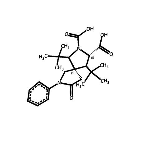 CC(C)(C)C1[C@@H](C(=O)O)N(C(=O)O)C(C(C)(C)C)[C@@]12CC(=O)N(c1ccccc1)C2